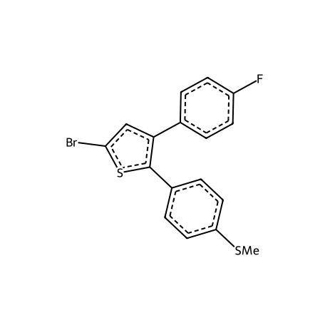 CSc1ccc(-c2sc(Br)cc2-c2ccc(F)cc2)cc1